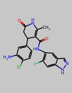 CC1=C(C(=O)Nc2cc3cn[nH]c3cc2F)C(c2ccc(Cl)c(N)c2)CC(=O)N1